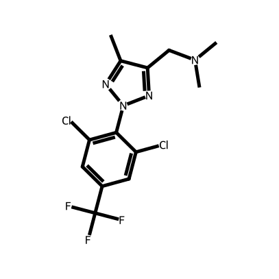 Cc1nn(-c2c(Cl)cc(C(F)(F)F)cc2Cl)nc1CN(C)C